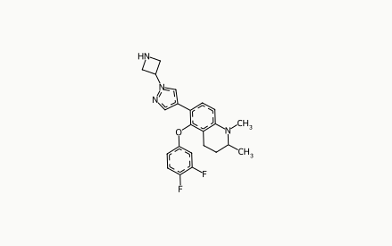 CC1CCc2c(ccc(-c3cnn(C4CNC4)c3)c2Oc2ccc(F)c(F)c2)N1C